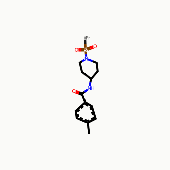 Cc1ccc(C(=O)NC2CCN(S(=O)(=O)C(C)C)CC2)cc1